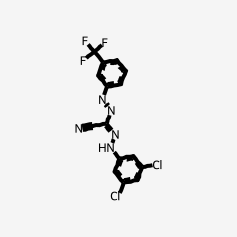 N#CC(/N=N/c1cccc(C(F)(F)F)c1)=N\Nc1cc(Cl)cc(Cl)c1